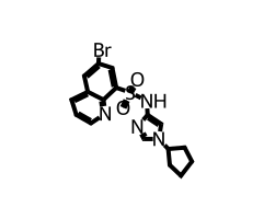 O=S(=O)(Nc1cn(C2CCCC2)cn1)c1cc(Br)cc2cccnc12